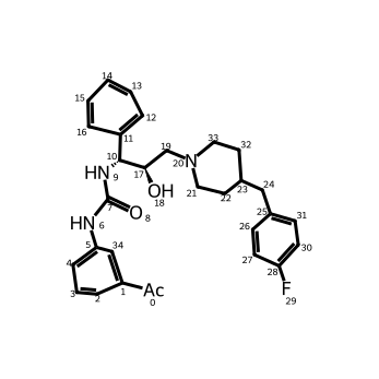 CC(=O)c1cccc(NC(=O)N[C@H](c2ccccc2)[C@H](O)CN2CCC(Cc3ccc(F)cc3)CC2)c1